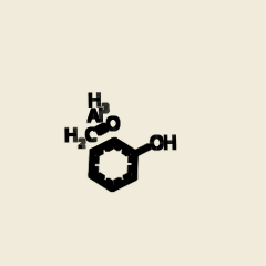 C=O.Oc1ccccc1.[AlH3]